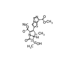 COC(=O)c1ncn2cc(C3=C(C(=O)[O-])N4C(=O)[C@H]([C@@H](C)O)[C@H]4[C@H]3C)sc12.[Na+]